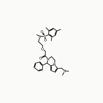 Cc1cc(C)c(S(=O)(=O)N(C)CCOCC(=O)N2CCn3c(CN(C)C)ccc3C2c2ccccc2)c(C)c1